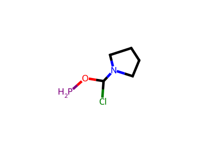 POC(Cl)N1CCCC1